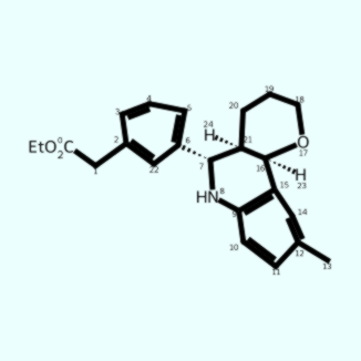 CCOC(=O)Cc1cccc([C@H]2Nc3ccc(C)cc3[C@@H]3OCCC[C@H]23)c1